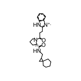 O=C(NCC1CC12CCCCC2)[C@@H]1CCCN1C(=O)CCC1=[N+]c2ccccc2N1